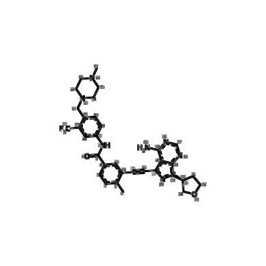 Cc1ccc(C(=O)Nc2ccc(CN3CCN(C)CC3)c(C(F)(F)F)c2)cc1C#Cc1nn([C@H]2CCOC2)c2ncnc(N)c12